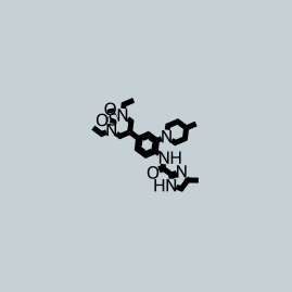 CCN1CC(c2ccc(NC(=O)C3=NC(C)CN3)c(N3CCC(C)CC3)c2)CN(CC)S1(=O)=O